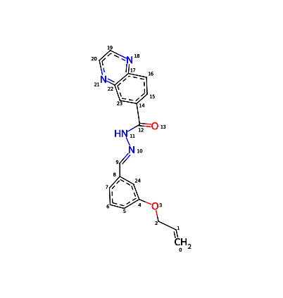 C=CCOc1cccc(C=NNC(=O)c2ccc3nccnc3c2)c1